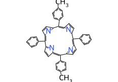 Cc1ccc(C2=C3C=CC(=N3)C(c3ccccc3)=C3C=CC(=N3)C(c3ccc(C)cc3)=C3C=CC(=N3)C(c3ccccc3)=C3C=CC2=N3)cc1